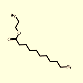 CC(C)CCCCCCCCCC(=O)OCCC(C)C